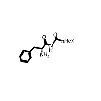 CCCCCCC(=O)NC(=O)[C@@H](N)Cc1ccccc1